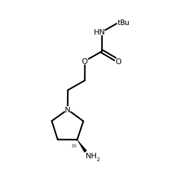 CC(C)(C)NC(=O)OCCN1CC[C@H](N)C1